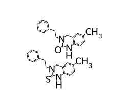 Cc1ccc2c(c1)CN(CCc1ccccc1)C(=O)N2.Cc1ccc2c(c1)CN(CCc1ccccc1)C(=S)N2